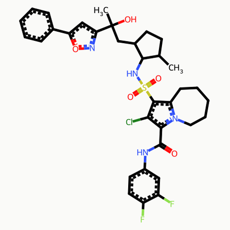 CC1CCC(CC(C)(O)c2cc(-c3ccccc3)on2)C1NS(=O)(=O)c1c(Cl)c(C(=O)Nc2ccc(F)c(F)c2)n2c1CCCCC2